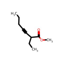 CCCC#CC(CC)C(=O)OC